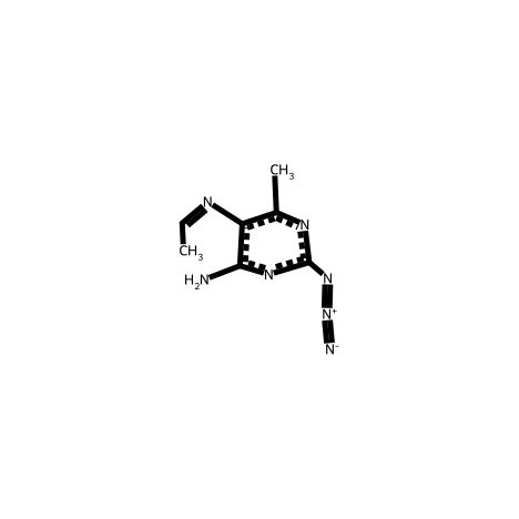 C/C=N\c1c(C)nc(N=[N+]=[N-])nc1N